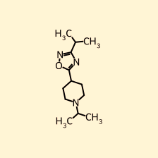 CC(C)c1noc(C2CCN(C(C)C)CC2)n1